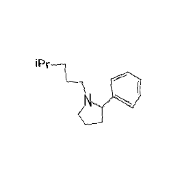 CC(C)CCCN1CCCC1c1ccccc1